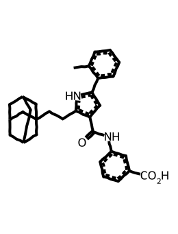 Cc1ccccc1-c1cc(C(=O)Nc2cccc(C(=O)O)c2)c(CCC23CC4CC(CC(C4)C2)C3)[nH]1